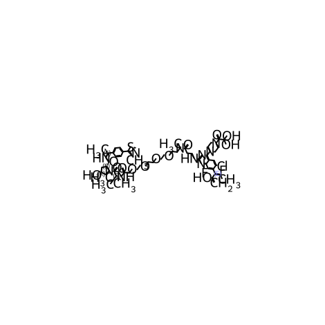 C=C(O)/C(=C(\C)F)c1c(Cl)cc2c(N3CCN(C(=O)C(O)O)CC3)nc(NCCC(=O)N(C)CCOCCOCCOCCOCC(=O)N[C@H](C(=O)N3C[C@H](O)C[C@H]3C(=O)N[C@@H](C)c3ccc(-c4scnc4C)cc3)C(C)(C)C)nc2c1F